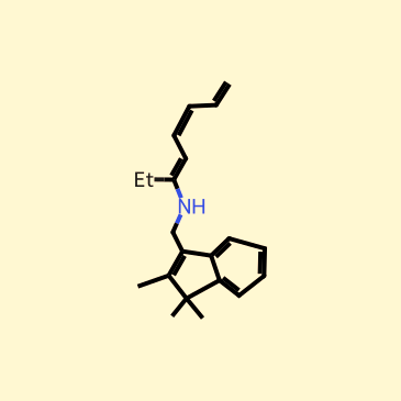 C=C/C=C\C=C(/CC)NCC1=C(C)C(C)(C)c2ccccc21